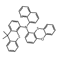 CC1(C)c2ccccc2Sc2c(N(c3cccc4c3Sc3ccccc3O4)c3cccc4cccnc34)cccc21